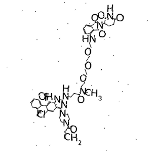 C=CC(=O)N1CCN(c2nc(NCCC(=O)N(C)CCOCCOCCOCCNc3cccc4c3C(=O)N(C3CCC(=O)NC3=O)C4=O)nc3c(F)c(-c4c(O)cccc4F)c(Cl)cc23)CC1